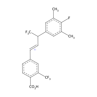 Cc1cc(C(/C=C/c2ccc(C(=O)O)c(C(F)(F)F)c2)C(F)(F)F)cc(C)c1F